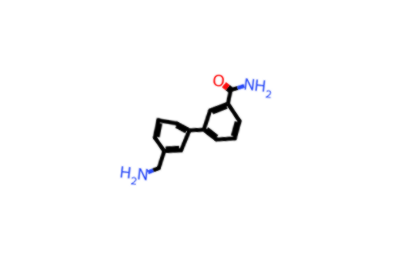 NCc1cccc(-c2cccc(C(N)=O)c2)c1